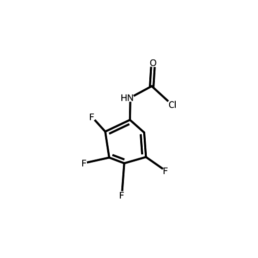 O=C(Cl)Nc1cc(F)c(F)c(F)c1F